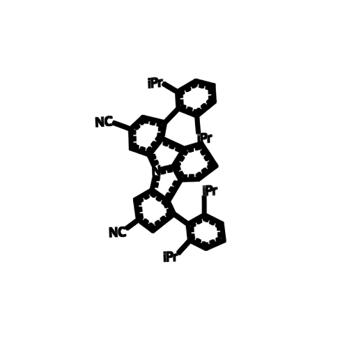 CC(C)c1cccc(C(C)C)c1-c1cc(C#N)cc2c1c1cccc3c4c(-c5c(C(C)C)cccc5C(C)C)cc(C#N)cc4n2c13